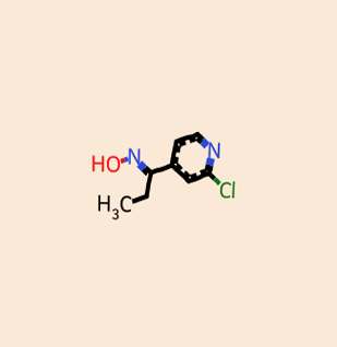 CC/C(=N\O)c1ccnc(Cl)c1